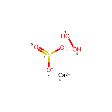 O=S([O-])[O-].OO.[Ca+2]